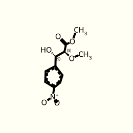 COC(=O)[C@@H](OC)[C@@H](O)c1ccc([N+](=O)[O-])cc1